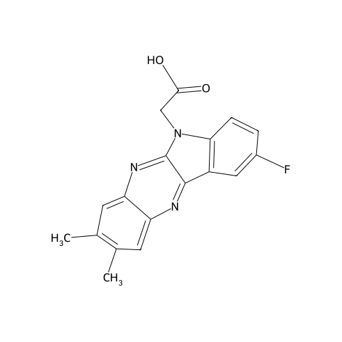 Cc1cc2nc3c4cc(F)ccc4n(CC(=O)O)c3nc2cc1C